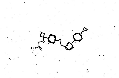 O=C(O)COC1(c2ccc(OCc3cccc(-c4ccc(C5CC5)cc4)c3)cc2)COC1